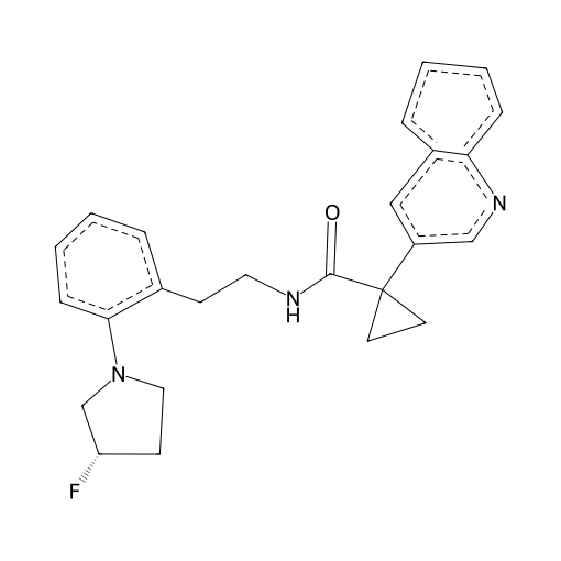 O=C(NCCc1ccccc1N1CC[C@H](F)C1)C1(c2cnc3ccccc3c2)CC1